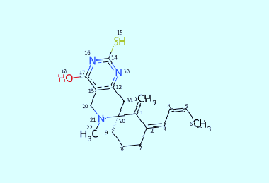 C=C1/C(=C\C=C/C)CCC[C@]12Cc1nc(S)nc(O)c1CN2C